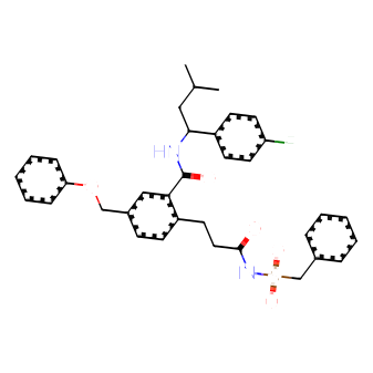 CC(C)CC(NC(=O)c1cc(COc2ccccc2)ccc1CCC(=O)NS(=O)(=O)Cc1ccccc1)c1ccc(F)cc1